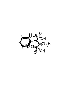 O=C(O)C(C(c1ccccc1)P(=O)(O)O)P(=O)(O)O